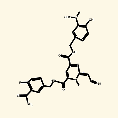 CN1C(C(=O)NCc2ccc(F)c(C(N)=O)c2)=CC(C(=O)NCc2ccc(O)c(N(C)C=O)c2)=N/C1=C/C=N